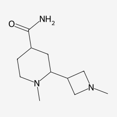 CN1CC(C2CC(C(N)=O)CCN2C)C1